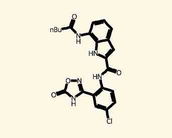 CCCCC(=O)Nc1cccc2cc(C(=O)Nc3ccc(Cl)cc3-c3noc(=O)[nH]3)[nH]c12